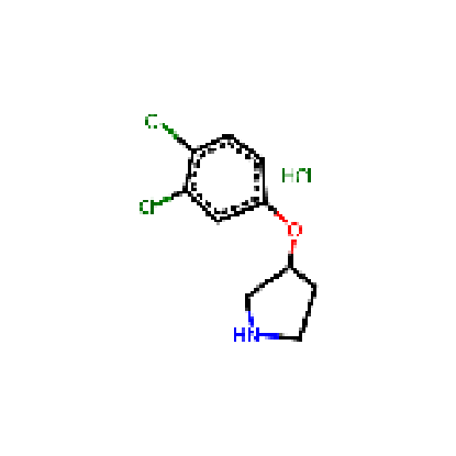 Cl.Clc1ccc(OC2CCNC2)cc1Cl